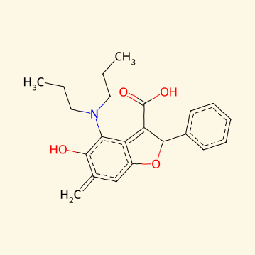 C=c1cc2c(c(N(CCC)CCC)c1O)=C(C(=O)O)C(c1ccccc1)O2